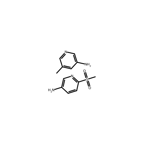 CS(=O)(=O)c1ccc(N)cn1.Cc1cncc(N)c1